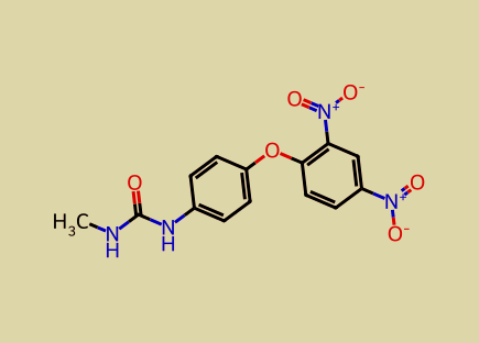 CNC(=O)Nc1ccc(Oc2ccc([N+](=O)[O-])cc2[N+](=O)[O-])cc1